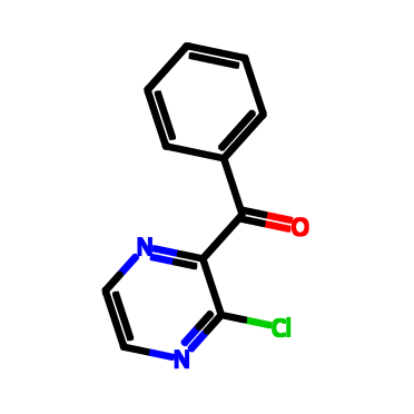 O=C(c1ccccc1)c1nccnc1Cl